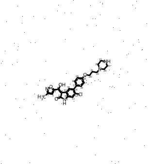 Cc1cc(/C(O)=C2\C(=O)Nc3cc(Cl)c(-c4ccc(OCCCN5CCNCC5)cc4)cc32)on1